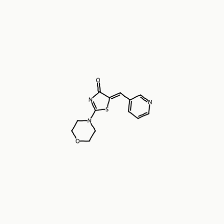 O=C1N=C(N2CCOCC2)SC1=Cc1cccnc1